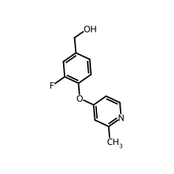 Cc1cc(Oc2ccc(CO)cc2F)ccn1